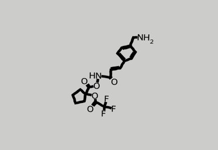 NCc1ccc(/C=C/C(=O)NOC(=O)C2(OC(=O)C(F)(F)F)CCCC2)cc1